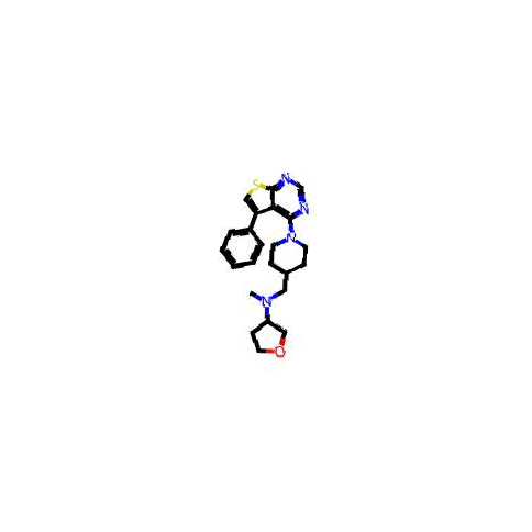 CN(CC1CCN(c2ncnc3scc(-c4ccccc4)c23)CC1)C1CCOC1